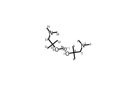 CN(C)CC(C)(C)[O][In-][O]C(C)(C)CN(C)C